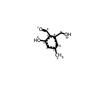 Cc1cc(O)c(C=O)c(CO)c1